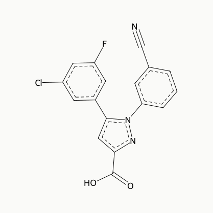 N#Cc1cccc(-n2nc(C(=O)O)cc2-c2cc(F)cc(Cl)c2)c1